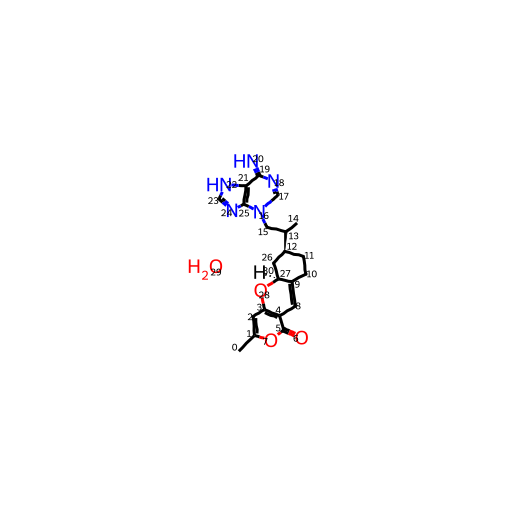 Cc1cc2c(c(=O)o1)C=C1CC[C@H](C(C)Cn3cnc(=N)c4[nH]cnc43)C[C@@H]1O2.O